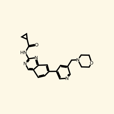 O=C(Nc1ncc2ccc(-c3cncc(CN4CCOCC4)c3)cc2n1)C1CC1